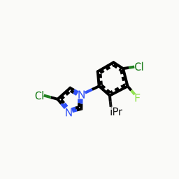 CC(C)c1c(-n2cnc(Cl)c2)ccc(Cl)c1F